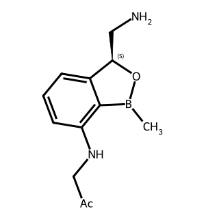 CB1O[C@H](CN)c2cccc(NCC(C)=O)c21